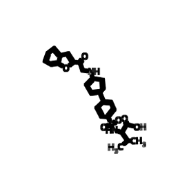 CC(C)C(NS(=O)(=O)c1ccc(-c2ccc(NCC(=O)c3cc4ccccc4o3)cc2)cc1)C(=O)O